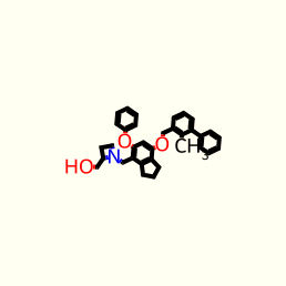 Cc1c(COc2cc(Oc3ccccc3)c(CN3CCC3CO)c3c2CCC3)cccc1-c1ccccc1